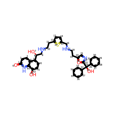 O=c1ccc2c([C@@H](O)CNCCc3ccc(CNCCc4cnc(C(O)(c5ccccc5)c5ccccc5)o4)s3)ccc(O)c2[nH]1